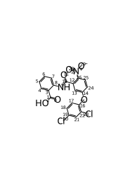 O=C(O)c1ccccc1NC(=O)c1cc(Oc2ccc(Cl)cc2Cl)ccc1[N+](=O)[O-]